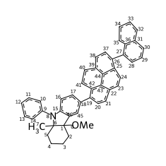 COC12CCCCC1(C)N(c1ccccc1)c1ccc(-c3ccc4ccc5c(-c6cccc7ccccc67)ccc6ccc3c4c65)cc12